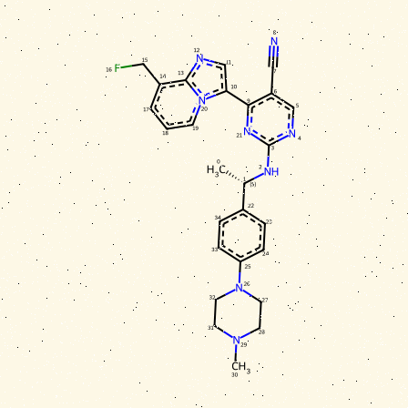 C[C@H](Nc1ncc(C#N)c(-c2cnc3c(CF)cccn23)n1)c1ccc(N2CCN(C)CC2)cc1